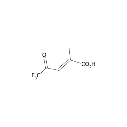 CC(=CC(=O)C(F)(F)F)C(=O)O